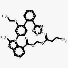 CCCC(=O)OCOC(=O)c1cccc2nc(C)n(-c3ccc(-c4ccccc4-c4nnn[nH]4)c(OCC)c3)c12